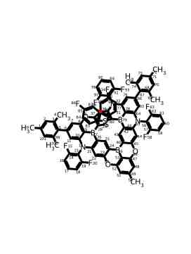 Cc1cc(C)c(-c2cc3c4c(c2)N(c2c(F)cccc2F)c2cc5c(cc2B4c2sc4ccc(F)cc4c2O3)B2c3cc4c(cc3Oc3cc(C)cc(c32)O5)N(c2c(F)cccc2F)c2cc(-c3c(C)cc(C)cc3C)cc3c2B4c2sc4ccc(F)cc4c2N3c2c(F)cccc2F)c(C)c1